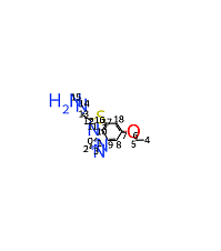 C#N.C#N.CCOc1ccc2nc(C=NN)sc2c1